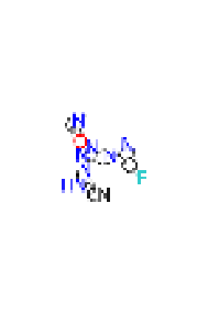 CN1CCC[C@H]1COc1nc2c(c(N3CCN[C@@H](CC#N)C3)n1)CCN(c1cncc3cc(F)ccc13)C2